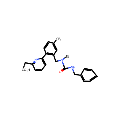 CCN(Cc1cc(C(F)(F)F)ccc1-c1cccc(CC(=O)O)n1)C(=O)NCc1ccccc1